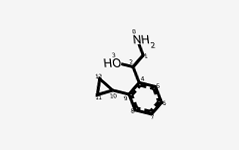 NCC(O)c1ccccc1C1CC1